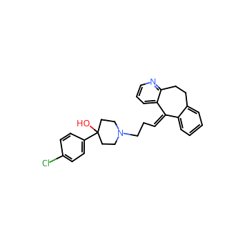 OC1(c2ccc(Cl)cc2)CCN(CCC=C2c3ccccc3CCc3ncccc32)CC1